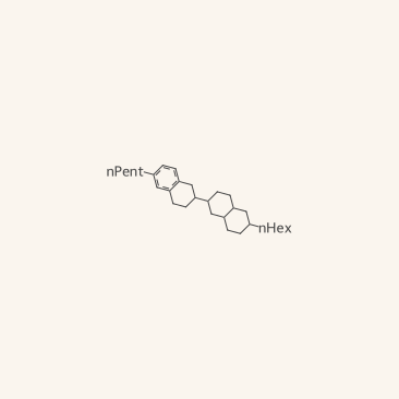 CCCCCCC1CCC2CC(C3CCc4cc(CCCCC)ccc4C3)CCC2C1